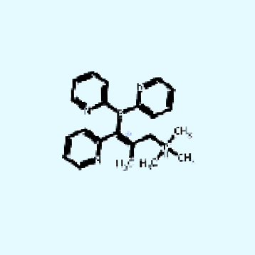 C/C(C[PH](C)(C)C)=C(/B(c1ccccn1)c1ccccn1)c1ccccn1